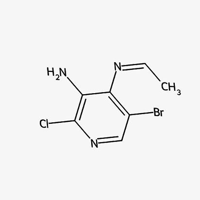 C/C=N\c1c(Br)cnc(Cl)c1N